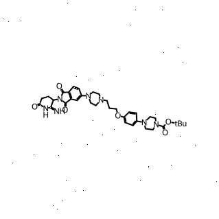 CC(C)(C)OC(=O)N1CCN(c2ccc(OCCCN3CCN(c4ccc5c(c4)C(=O)N(C4CCC(=O)NC4=N)C5=O)CC3)cc2)CC1